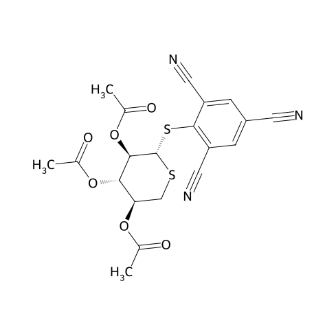 CC(=O)O[C@@H]1[C@@H](OC(C)=O)[C@H](Sc2c(C#N)cc(C#N)cc2C#N)SC[C@H]1OC(C)=O